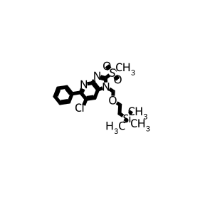 C[Si](C)(C)CCOCn1c(S(C)(=O)=O)nc2nc(-c3ccccc3)c(Cl)cc21